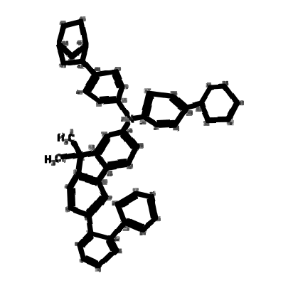 CC1(C)c2ccc(-c3ccccc3-c3ccccc3)cc2-c2ccc(N(c3ccc(C4CCCCC4)cc3)c3ccc(C4CC5CCC4C5)cc3)cc21